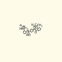 CC(C)Oc1ccccc1C(=O)Nc1ccc(C(=O)N2CCc3nc(C4CC4)[nH]c3-c3ccccc32)cc1.Cl